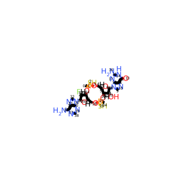 C=P1(S)OC[C@H]2O[C@@H](n3cnc4c(=O)[nH]c(N)nc43)[C@H](O)[C@@H]2OP(=C)(S)OC[C@@H]2O[C@H](n3cnc4c(N)ncnc43)[C@H](F)[C@H]2O1